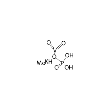 [KH].[Mo].[O]=[V](=[O])[O]P(=O)(O)O